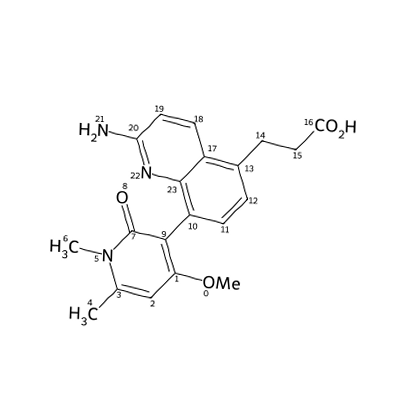 COc1cc(C)n(C)c(=O)c1-c1ccc(CCC(=O)O)c2ccc(N)nc12